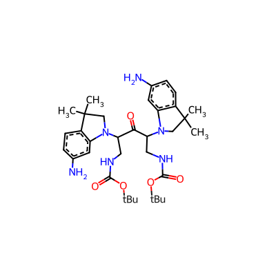 CC(C)(C)OC(=O)NCC(C(=O)C(CNC(=O)OC(C)(C)C)N1CC(C)(C)c2ccc(N)cc21)N1CC(C)(C)c2ccc(N)cc21